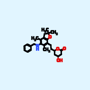 Cc1c(CC[C@@H]2C[C@@H](O)CC(=O)O2)c2c(c(C)c1NCc1ccccc1)CC(C)(C)O2